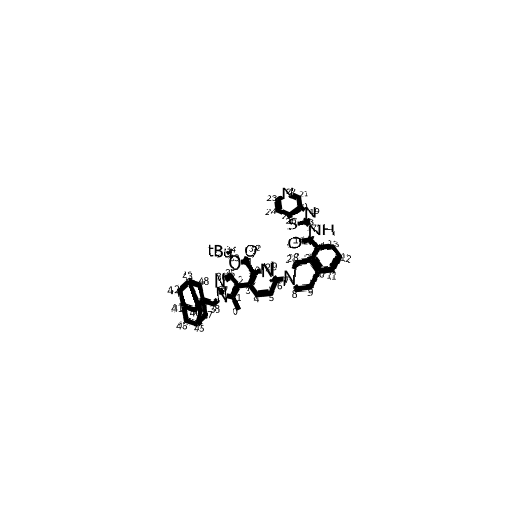 Cc1c(-c2ccc(N3CCc4cccc(C(=O)Nc5nc6cnccc6s5)c4C3)nc2C(=O)OC(C)(C)C)cnn1CC12CC3CC(CC(C3)C1)C2